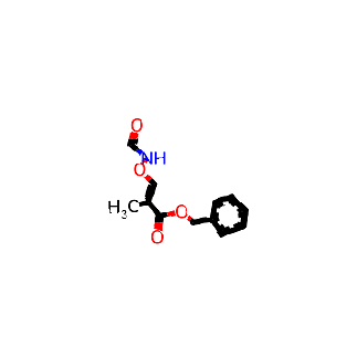 CC(=CONC=O)C(=O)OCc1ccccc1